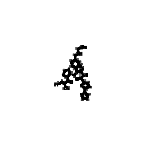 CC(C)C=C(C#N)C(=O)N1CCC[C@@H]1Cn1c(NC(=O)c2ccc(-n3cccn3)s2)nc2cc(CNCC(C)(C)C)ccc21